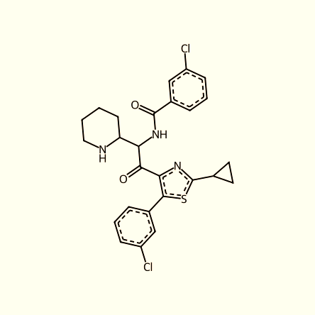 O=C(NC(C(=O)c1nc(C2CC2)sc1-c1cccc(Cl)c1)C1CCCCN1)c1cccc(Cl)c1